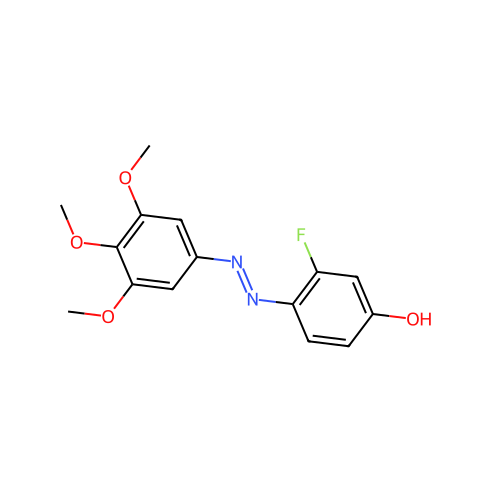 COc1cc(N=Nc2ccc(O)cc2F)cc(OC)c1OC